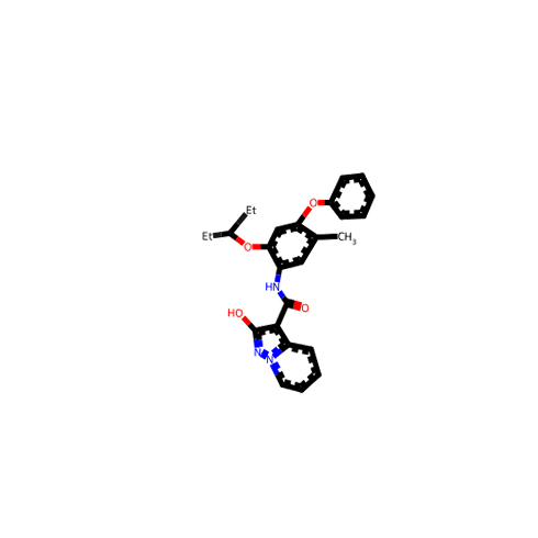 CCC(CC)Oc1cc(Oc2ccccc2)c(C)cc1NC(=O)c1c(O)nn2ccccc12